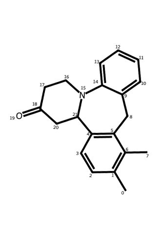 Cc1ccc2c(c1C)Cc1ccccc1N1CCC(=O)CC21